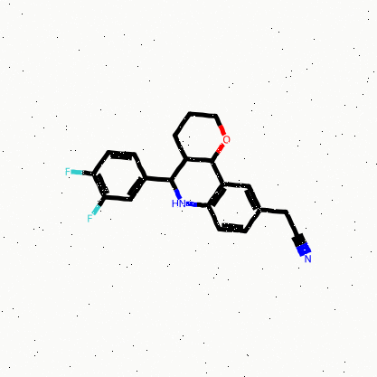 N#CCc1ccc2c(c1)C1OCCCC1C(c1ccc(F)c(F)c1)N2